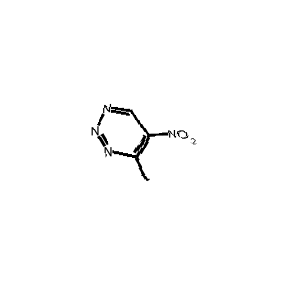 Cc1nnncc1[N+](=O)[O-]